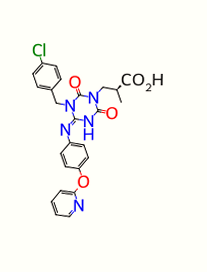 C[C@@H](Cn1c(=O)[nH]/c(=N\c2ccc(Oc3ccccn3)cc2)n(Cc2ccc(Cl)cc2)c1=O)C(=O)O